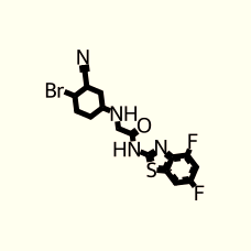 N#CC1CC(NCC(=O)Nc2nc3c(F)cc(F)cc3s2)CCC1Br